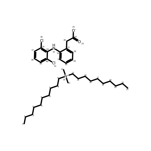 CCCCCCCCCC[N+](C)(C)CCCCCCCCCC.O=C([O-])Cc1ccccc1Nc1c(Cl)cccc1Cl